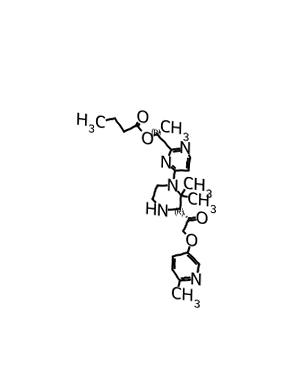 CCCC(=O)O[C@H](C)c1nccc(N2CCN[C@@H](C(=O)COc3ccc(C)nc3)C2(C)C)n1